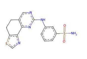 NS(=O)(=O)c1cccc(Nc2ncc3c(n2)-c2ncsc2CC3)c1